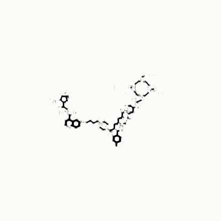 Cc1ccc(/C=N/NCN/N=C/CC(/C=N\NC(=O)CCCCCC(=O)N2CCN(CCCCOc3ccc4nccc(C(=O)NCC(=O)C5CC(F)(F)C[C@@H]5C#N)c4c3)CC2)NC(=O)CN2CCN(CC(=O)O)CCN(CC(=O)O)CCN(C(=O)O)CC2)cc1